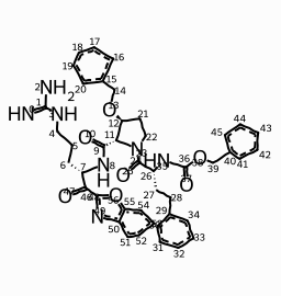 N=C(N)NCCC[C@H](NC(=O)[C@@H]1[C@@H](OCc2ccccc2)CCN1C(=O)[C@@H](CCc1ccccc1)NC(=O)OCc1ccccc1)C(=O)c1nc2ccccc2o1